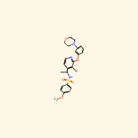 CCc1c(C(C)NS(=O)(=O)c2ccc(OC(F)(F)F)cc2)ccnc1Oc1cccc(N2CCOCC2)c1